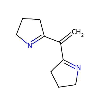 C=C(C1=NCCC1)C1=NCCC1